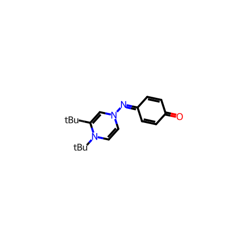 CC(C)(C)C1=CN(N=C2C=CC(=O)C=C2)C=CN1C(C)(C)C